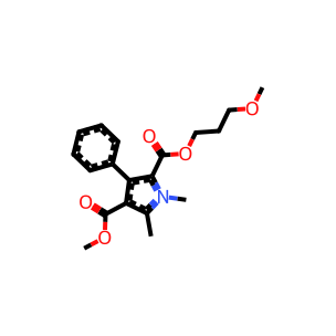 COCCCOC(=O)c1c(-c2ccccc2)c(C(=O)OC)c(C)n1C